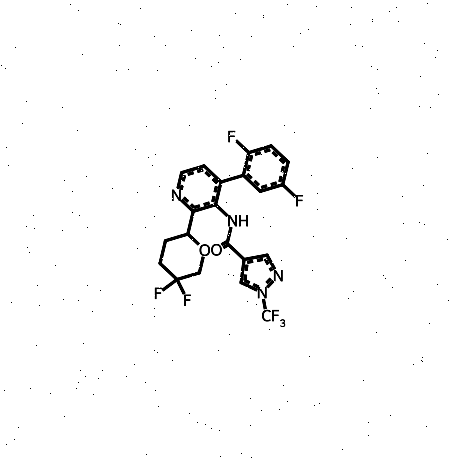 O=C(Nc1c(-c2cc(F)ccc2F)ccnc1C1CCC(F)(F)CO1)c1cnn(C(F)(F)F)c1